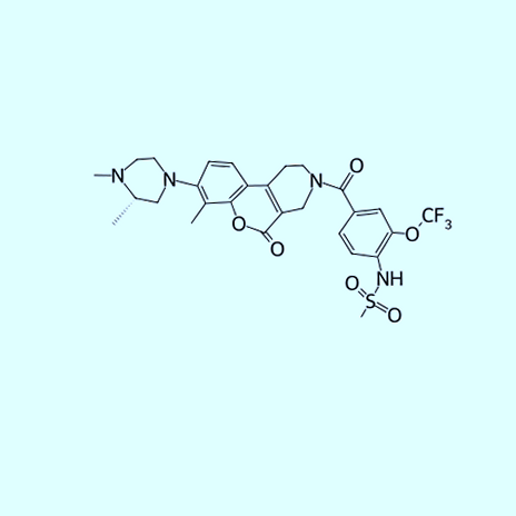 Cc1c(N2CCN(C)[C@@H](C)C2)ccc2c3c(c(=O)oc12)CN(C(=O)c1ccc(NS(C)(=O)=O)c(OC(F)(F)F)c1)CC3